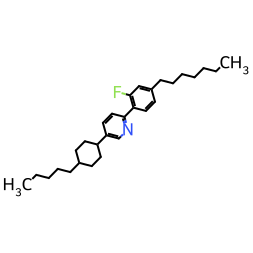 CCCCCCCc1ccc(-c2ccc(C3CCC(CCCCC)CC3)cn2)c(F)c1